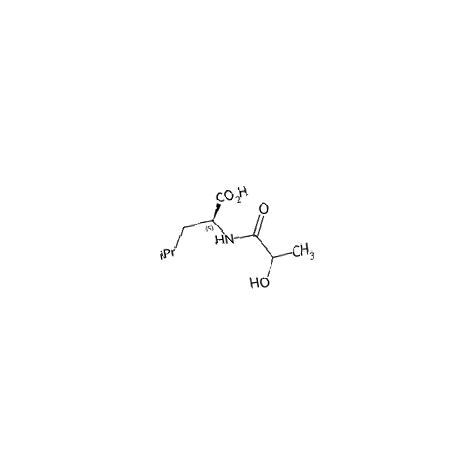 CC(C)C[C@H](NC(=O)C(C)O)C(=O)O